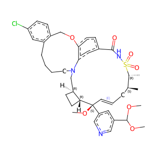 COC(OC)c1cncc([C@@]2(OC)/C=C/C[C@H](C)[C@@H](C)S(=O)(=O)NC(=O)c3ccc4c(c3)N(CCCCc3cc(Cl)ccc3CO4)C[C@@H]3CC[C@H]32)c1